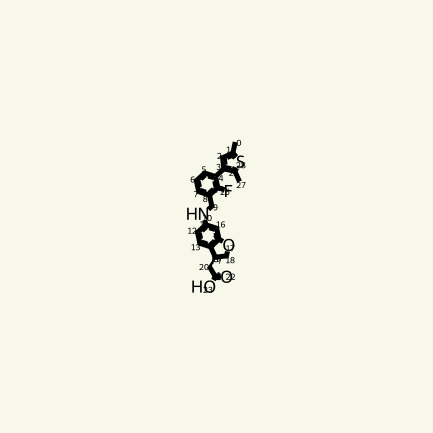 Cc1cc(-c2cccc(CNc3ccc4c(c3)OC[C@H]4CC(=O)O)c2F)c(C)s1